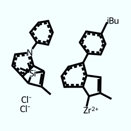 CC1=C2c3c(ccn3-c3ccccc3)C1[Si]2(C)C.CCC(C)c1ccc(-c2cccc3c2C=C(C)[CH]3[Zr+2])cc1.[Cl-].[Cl-]